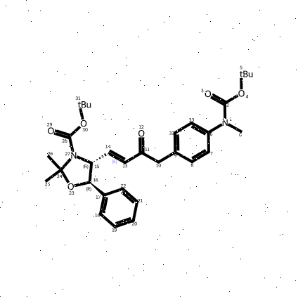 CN(C(=O)OC(C)(C)C)c1ccc(CC(=O)/C=C/[C@@H]2[C@@H](c3ccccc3)OC(C)(C)N2C(=O)OC(C)(C)C)cc1